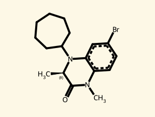 C[C@@H]1C(=O)N(C)c2ccc(Br)cc2N1C1CCCCCC1